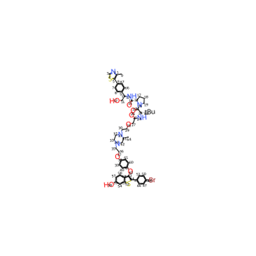 Cc1ncsc1-c1ccc([C@H](CO)NC(=O)[C@@H]2CCCN2C(=O)[C@@H](NC(=O)COCCN2CCN(CCOc3ccc(Oc4c(-c5ccc(Br)cc5)sc5cc(O)ccc45)cc3)C[C@@H]2C)C(C)(C)C)cc1